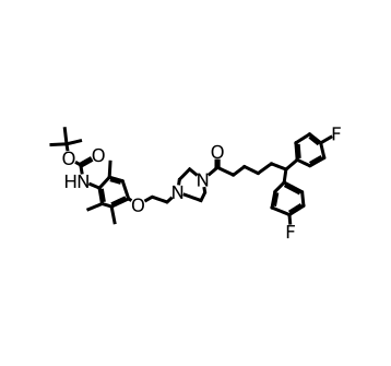 Cc1cc(OCCN2CCN(C(=O)CCCCC(c3ccc(F)cc3)c3ccc(F)cc3)CC2)c(C)c(C)c1NC(=O)OC(C)(C)C